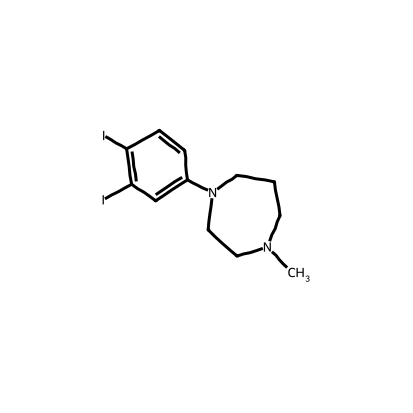 CN1CCCN(c2ccc(I)c(I)c2)CC1